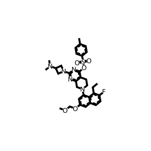 CCc1c(F)ccc2cc(OCOC)cc(N3CCc4c(nc(N5CC(N(C)C)C5)nc4OS(=O)(=O)c4ccc(C)cc4)C3)c12